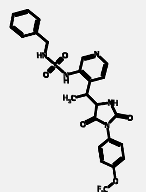 CC(c1ccncc1NS(=O)(=O)NCc1ccccc1)C1NC(=O)N(c2ccc(OC(F)(F)F)cc2)C1=O